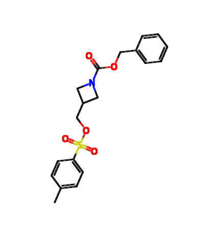 Cc1ccc(S(=O)(=O)OCC2CN(C(=O)OCc3ccccc3)C2)cc1